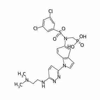 CN(C)CCNc1ccc(-n2ccc3cc(N(CP(=O)(O)O)S(=O)(=O)c4cc(Cl)cc(Cl)c4)ccc32)nn1